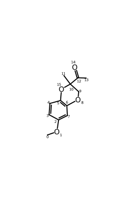 COc1ccc2c(c1)OCC(C)(C(C)=O)O2